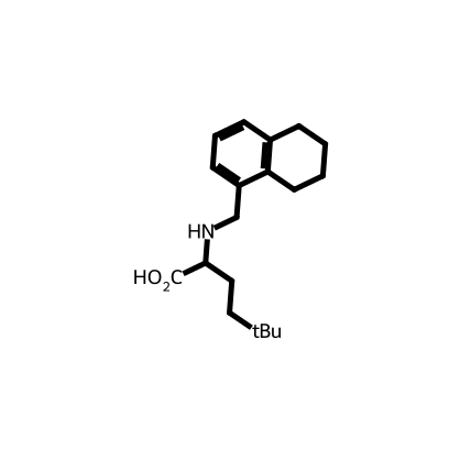 CC(C)(C)CCC(NCc1cccc2c1CCCC2)C(=O)O